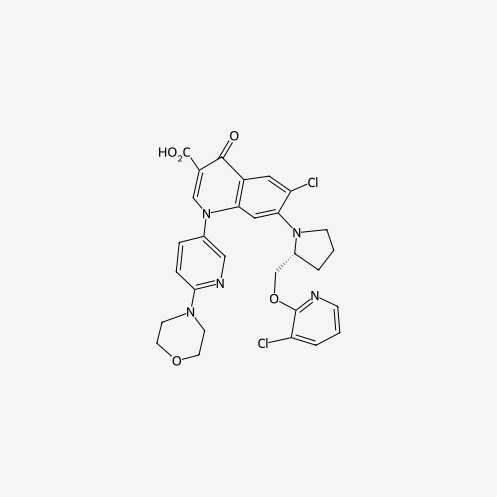 O=C(O)c1cn(-c2ccc(N3CCOCC3)nc2)c2cc(N3CCC[C@@H]3COc3ncccc3Cl)c(Cl)cc2c1=O